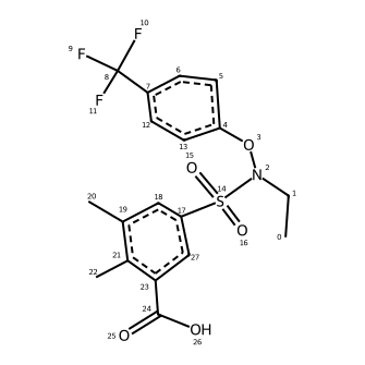 CCN(Oc1ccc(C(F)(F)F)cc1)S(=O)(=O)c1cc(C)c(C)c(C(=O)O)c1